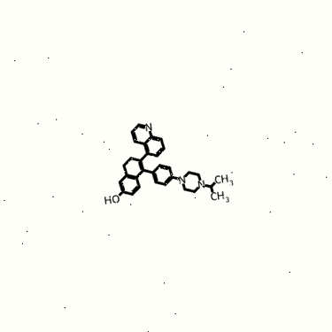 CC(C)N1CCN(c2ccc(C3=C(c4cccc5ncccc45)CCc4cc(O)ccc43)cc2)CC1